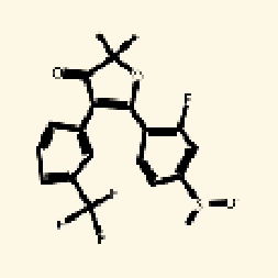 C[S+]([O-])c1ccc(C2=C(c3cccc(C(F)(F)F)c3)C(=O)C(C)(C)O2)c(F)c1